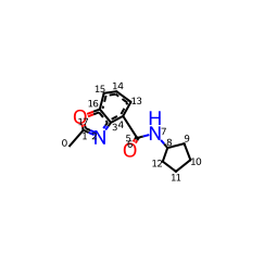 Cc1nc2c(C(=O)NC3CCCC3)cccc2o1